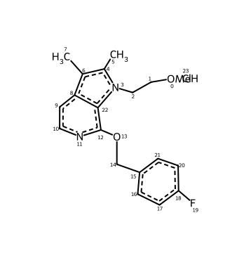 COCCn1c(C)c(C)c2ccnc(OCc3ccc(F)cc3)c21.Cl